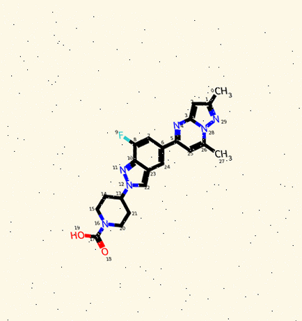 Cc1cc2nc(-c3cc(F)c4nn(C5CCN(C(=O)O)CC5)cc4c3)cc(C)n2n1